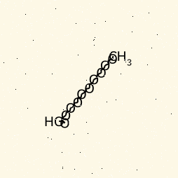 COCCOCCOCCOCCOCCOCCOCCOCCOCC(=O)O